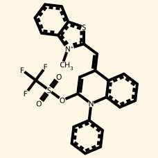 C[n+]1c(/C=C2\C=C(OS(=O)(=O)C(F)(F)F)N(c3ccccc3)c3ccccc32)sc2ccccc21